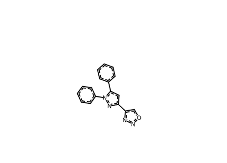 c1ccc(-c2cc(-c3conn3)nn2-c2ccccc2)cc1